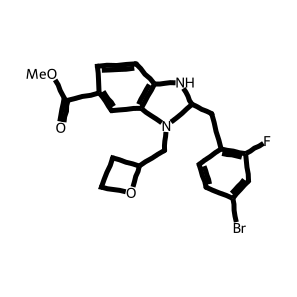 COC(=O)c1ccc2c(c1)N(CC1CCO1)C(Cc1ccc(Br)cc1F)N2